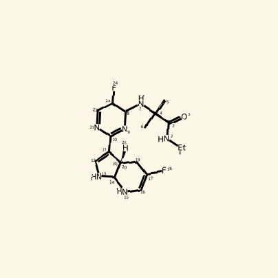 CCNC(=O)C(C)(C)NC1N=C(C2=CNC3NC=C(F)C[C@@H]23)N=CC1F